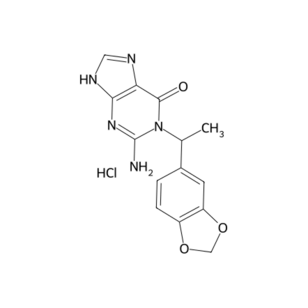 CC(c1ccc2c(c1)OCO2)n1c(N)nc2[nH]cnc2c1=O.Cl